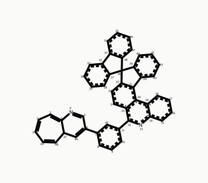 C1=CC=C2N=CC(c3cccc(-c4nc5ccccc5c5c6c(ccc45)C4(c5ccccc5-c5ccccc54)c4ccccc4-6)c3)=CC2C=C1